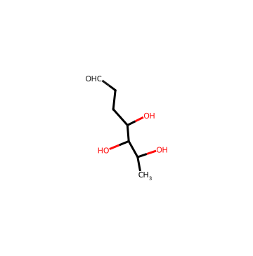 CC(O)C(O)C(O)CCC=O